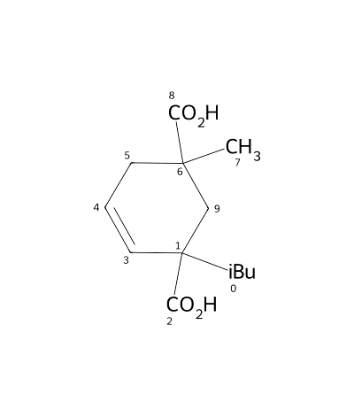 CCC(C)C1(C(=O)O)C=CCC(C)(C(=O)O)C1